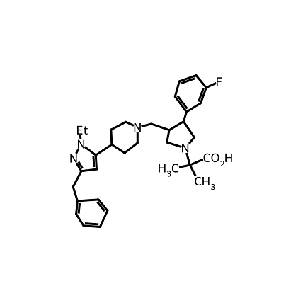 CCn1nc(Cc2ccccc2)cc1C1CCN(CC2CN(C(C)(C)C(=O)O)CC2c2cccc(F)c2)CC1